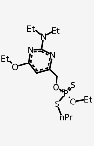 CCCS[P@@](=S)(OCC)OCc1cc(OCC)nc(N(CC)CC)n1